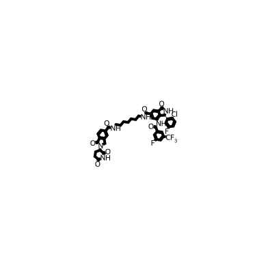 O=C1CCC(N2Cc3cc(C(=O)NCCCCCCCNC(=O)c4cc(NC(=O)c5cc(F)cc(C(F)(F)F)c5)c5c(c4)C(=O)N[C@@H]5c4cc(F)ccc4Cl)ccc3C2=O)C(=O)N1